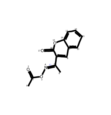 CC(=O)O/N=C(\C)c1cc2ccccc2oc1=O